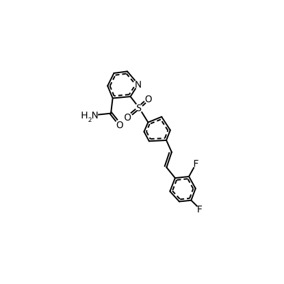 NC(=O)c1cccnc1S(=O)(=O)c1ccc(C=Cc2ccc(F)cc2F)cc1